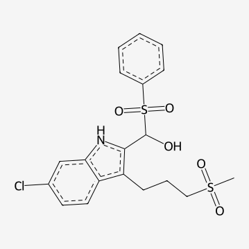 CS(=O)(=O)CCCc1c(C(O)S(=O)(=O)c2ccccc2)[nH]c2cc(Cl)ccc12